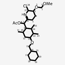 COCOC1CCC(C(OC(C)=O)C2C(C)CC(OCC3CCCCC3)C(C)C2C)=NC1Cl